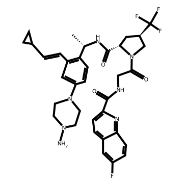 C[C@H](NC(=O)[C@@H]1C[C@@H](C(F)(F)F)CN1C(=O)CNC(=O)c1ccc2cc(F)ccc2n1)c1ccc(N2CCN(N)CC2)cc1/C=C/C1CC1